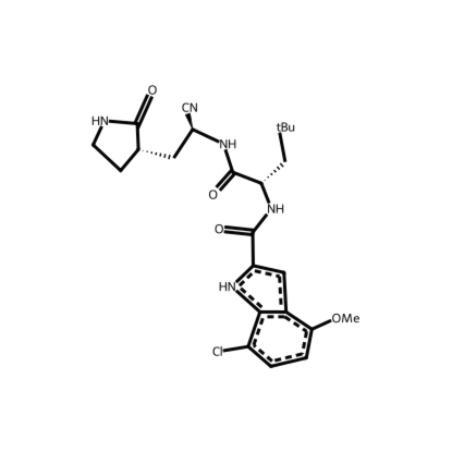 COc1ccc(Cl)c2[nH]c(C(=O)N[C@@H](CC(C)(C)C)C(=O)N[C@H](C#N)C[C@@H]3CCNC3=O)cc12